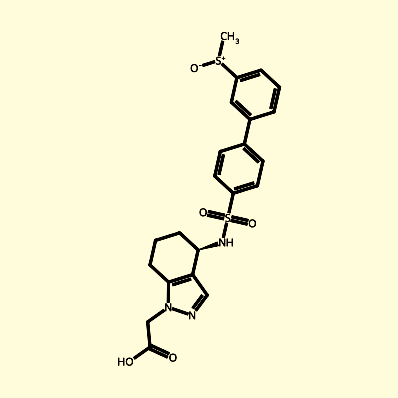 C[S+]([O-])c1cccc(-c2ccc(S(=O)(=O)N[C@@H]3CCCc4c3cnn4CC(=O)O)cc2)c1